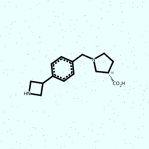 O=C(O)[C@H]1CCN(Cc2ccc(C3CNC3)cc2)C1